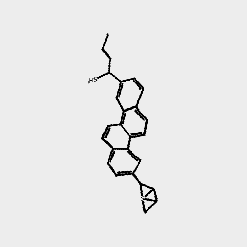 CCCC(S)c1ccc2ccc3c4cc(C5C6C7CS756)ccc4ccc3c2c1